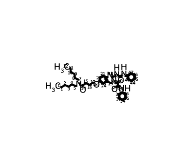 CCCCCCN(CCCCCC)C(=O)CCCOc1ccc2c(c1)CN(CC(=O)Nc1ccccc1)C(NC(=O)Nc1ccccc1)=N2